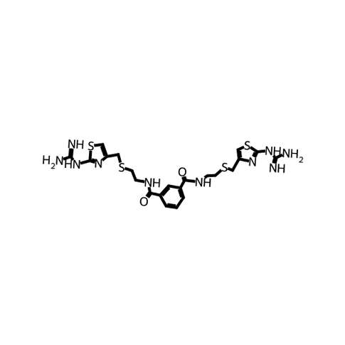 N=C(N)Nc1nc(CSCCNC(=O)c2cccc(C(=O)NCCSCc3csc(NC(=N)N)n3)c2)cs1